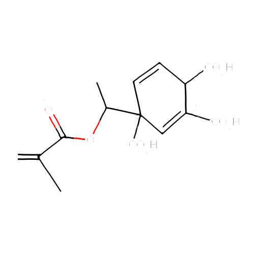 C=C(C)C(=O)OC(C)C1(C(=O)O)C=CC(C(=O)O)C(C(=O)O)=C1